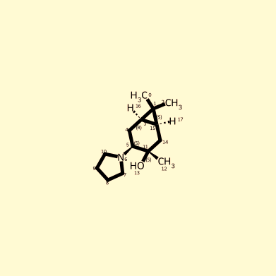 CC1(C)[C@@H]2C[C@H](N3CCCC3)[C@@](C)(O)C[C@@H]21